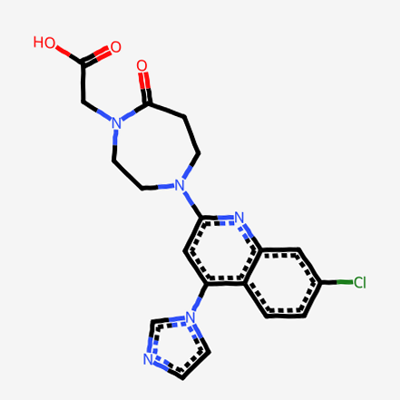 O=C(O)CN1CCN(c2cc(-n3ccnc3)c3ccc(Cl)cc3n2)CCC1=O